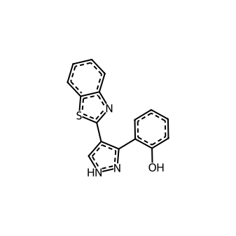 Oc1ccccc1-c1n[nH]cc1-c1nc2ccccc2s1